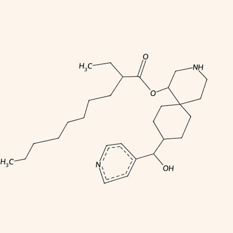 CCCCCCCCC(CC)C(=O)OC1CNCCC12CCC(C(O)c1ccncc1)CC2